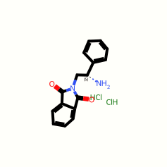 Cl.Cl.N[C@H](CN1C(=O)c2ccccc2C1=O)c1ccccc1